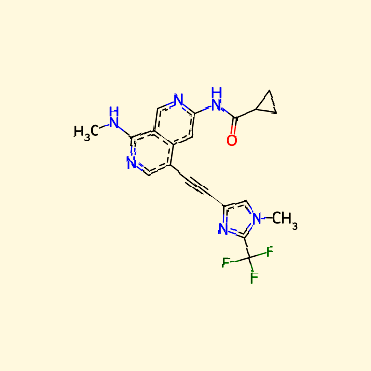 CNc1ncc(C#Cc2cn(C)c(C(F)(F)F)n2)c2cc(NC(=O)C3CC3)ncc12